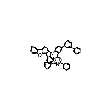 c1ccc(-c2cccc(-c3ccc(-n4c5ccccc5c5c6oc7ccccc7c6ccc54)c(-c4nc(-c5ccccc5)nc(-c5ccccc5)n4)c3)c2)cc1